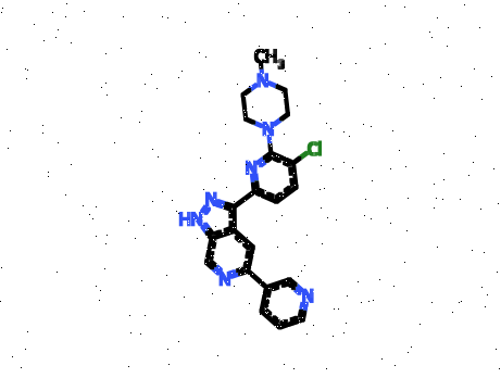 CN1CCN(c2nc(-c3n[nH]c4cnc(-c5cccnc5)cc34)ccc2Cl)CC1